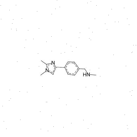 CNCc1ccc(-c2cn(C)c(C)n2)cc1